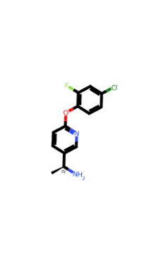 C[C@H](N)c1ccc(Oc2ccc(Cl)cc2F)nc1